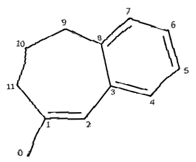 CC1=Cc2ccccc2CCC1